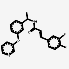 CC(NC(=O)C=Cc1ccc(F)c(F)c1)c1cccc(Oc2cccnc2)c1